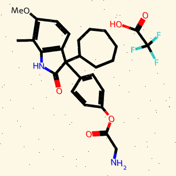 COc1ccc2c(c1C)NC(=O)C2(c1ccc(OC(=O)CN)cc1)C1CCCCCC1.O=C(O)C(F)(F)F